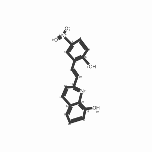 O=[N+]([O-])c1ccc(O)c(/C=C/c2ccc3cccc(O)c3n2)c1